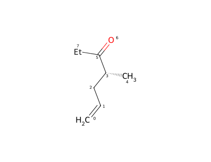 C=CC[C@@H](C)C(=O)CC